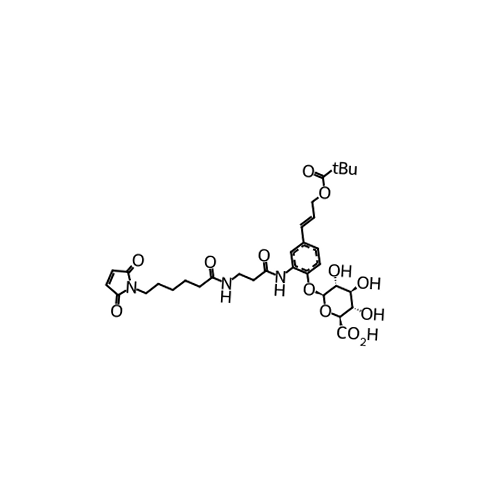 CC(C)(C)C(=O)OC/C=C/c1ccc(O[C@@H]2O[C@H](C(=O)O)[C@@H](O)[C@H](O)[C@H]2O)c(NC(=O)CCNC(=O)CCCCCN2C(=O)C=CC2=O)c1